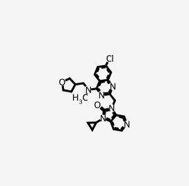 CN(CC1CCOC1)c1nc(Cn2c(=O)n(C3CC3)c3ccncc32)nc2cc(Cl)ccc12